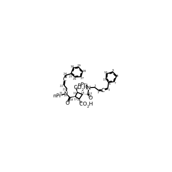 CCCN(CC=C=Cc1ccccc1)C(=O)[C@H]1[C@H](C(=O)O)[C@H](C(=O)N(CC=C=Cc2ccccc2)CCC)[C@H]1C(=O)O